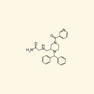 NC(=O)CNCC1CN(C(=O)c2cccnc2)CCN1C(c1ccccc1)c1ccccc1